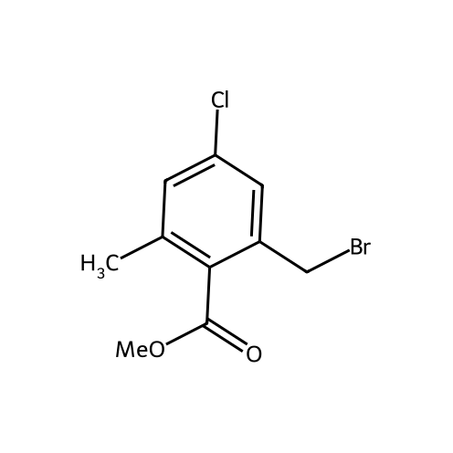 COC(=O)c1c(C)cc(Cl)cc1CBr